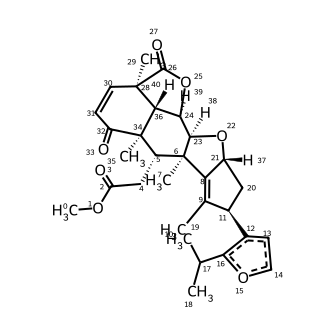 COC(=O)C[C@H]1[C@]2(C)C3=C(C)[C@H](c4ccoc4C(C)C)C[C@H]3O[C@@H]2[C@@H]2OC(=O)[C@]3(C)C=CC(=O)[C@@]1(C)[C@@H]23